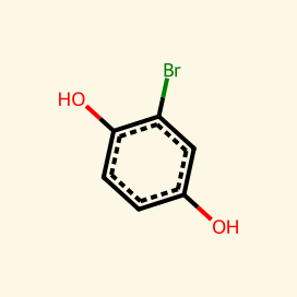 Oc1ccc(O)c(Br)c1